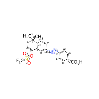 CC1(C)CC=C(OS(=O)(=O)C(F)(F)F)c2cc(/N=N/c3ccc(C(=O)O)cc3)ccc21